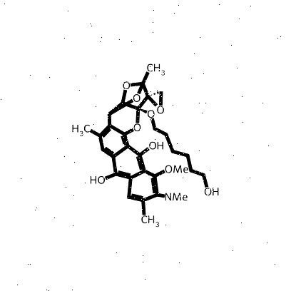 CNc1c(C)cc2c(O)c3cc(C)c4c(c3c(O)c2c1OC)O[C@]1(OCCCCCCO)C2OC(C)(OC42)[C@]12CO2